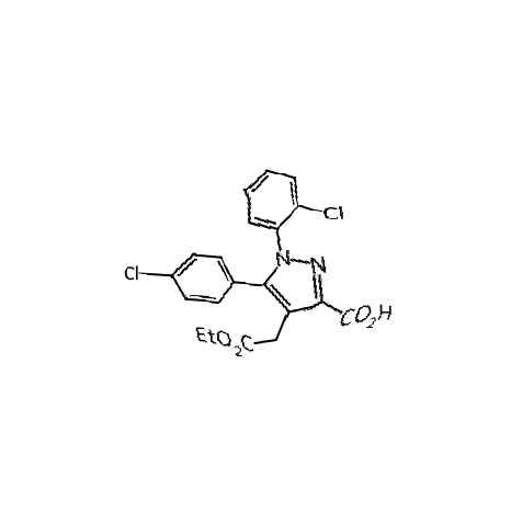 CCOC(=O)Cc1c(C(=O)O)nn(-c2ccccc2Cl)c1-c1ccc(Cl)cc1